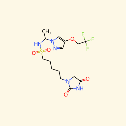 CC(NS(=O)(=O)CCCCCN1CC(=O)NC1=O)n1cc(OCC(F)(F)F)cn1